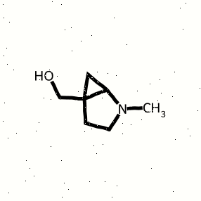 CN1CCC2(CO)CC12